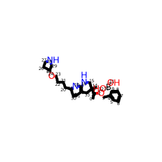 CC(OCc1ccccc1B(O)O)C1(C)CNc2nc(CCCCO[C@@H]3CCNC3)ccc2C1